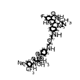 Cn1ncnc1[C@H]1c2n[nH]c(=O)c3cc(F)cc(c23)N[C@@H]1c1ccc(NCCOCCNc2ccc(S(=O)(=O)CC(C)(O)C(=O)Nc3ccc(C#N)c(C(F)(F)F)c3)cc2)cc1